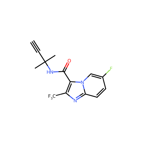 C#CC(C)(C)NC(=O)c1c(C(F)(F)F)nc2ccc(F)cn12